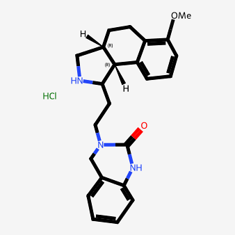 COc1cccc2c1CC[C@H]1CNC(CCN3Cc4ccccc4NC3=O)[C@@H]21.Cl